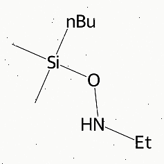 CCCC[Si](C)(C)ONCC